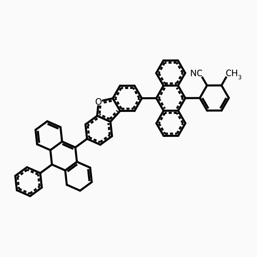 CC1C=CC=C(c2c3ccccc3c(-c3ccc4oc5cc(C6=C7C=CC=CC7C(c7ccccc7)C7=C6C=CCC7)ccc5c4c3)c3ccccc23)C1C#N